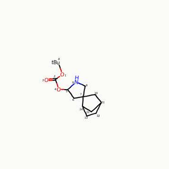 CC(C)(C)OC(=O)OC1CC2(CN1)CC1CCC2C1